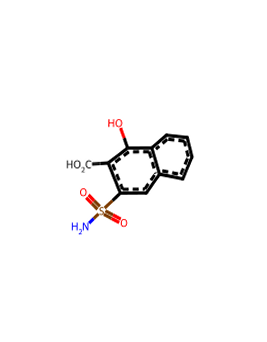 NS(=O)(=O)c1cc2ccccc2c(O)c1C(=O)O